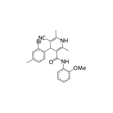 COc1ccccc1NC(=O)C1=C(C)NC(C)=C(C#N)C1c1ccc(C)cc1Br